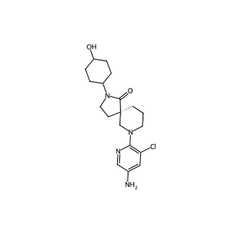 Nc1cnc(N2CCC[C@@]3(CCN(C4CCC(O)CC4)C3=O)C2)c(Cl)c1